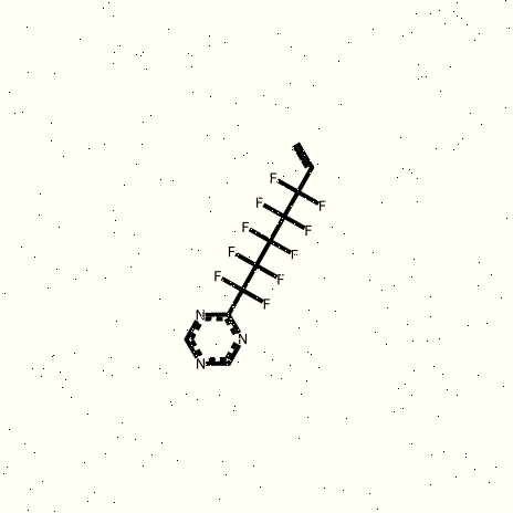 C=CC(F)(F)C(F)(F)C(F)(F)C(F)(F)C(F)(F)c1ncncn1